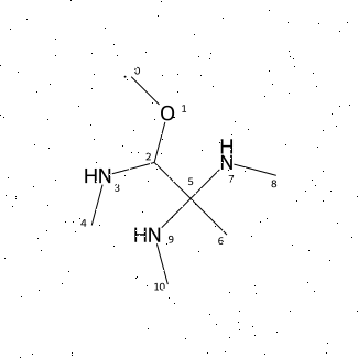 [CH2]OC(NC)C(C)(NC)NC